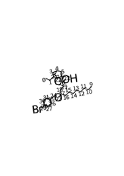 CCC1CC2C=CC1C2.CCCCCCCCC(CCC(=O)O)OCc1ccc(Br)cc1